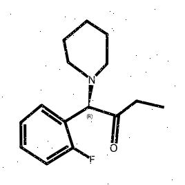 CCC(=O)[C@@H](c1ccccc1F)N1CCCCC1